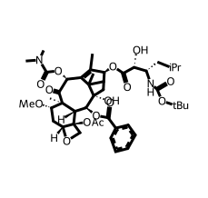 CO[C@H]1C[C@H]2OC[C@@]2(OC(C)=O)[C@H]2[C@H](OC(=O)c3ccccc3)[C@]3(O)C[C@H](OC(=O)[C@H](O)[C@H](CC(C)C)NC(=O)OC(C)(C)C)C(C)=C([C@@H](OC(=O)N(C)C)C(=O)[C@]12C)C3(C)C